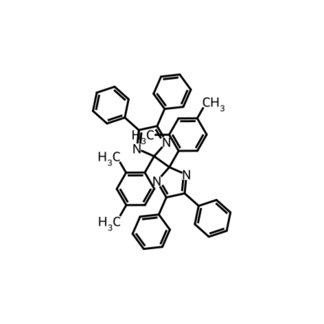 Cc1ccc(C2(C3(c4ccc(C)cc4C)N=C(c4ccccc4)C(c4ccccc4)=N3)N=C(c3ccccc3)C(c3ccccc3)=N2)c(C)c1